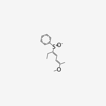 CC/C(=C\C=C(/C)OC)[S+]([O-])c1ccccc1